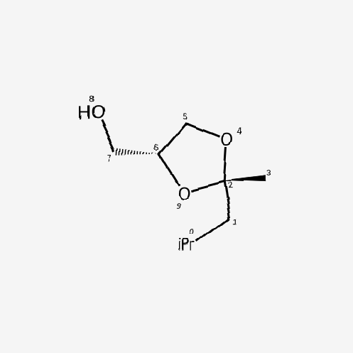 CC(C)C[C@@]1(C)OC[C@@H](CO)O1